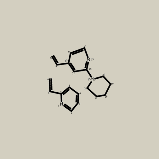 C=Cc1ccccn1.C=Cc1ccnc(N2CCCCC2)c1